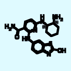 NC(=O)c1ccc(N[C@@H]2CCCC[C@@H]2N)nc1Nc1ccc2nc(O)sc2c1